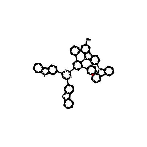 CC(C)(C)c1ccc2c(c1)c1ccc(-n3c4ccccc4c4ccccc43)cc1n2-c1c(-c2ccccc2)cc(-c2nc(-c3ccc4c(c3)sc3ccccc34)nc(-c3ccc4c(c3)sc3ccccc34)n2)cc1-c1ccccc1